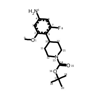 COc1cc(N)cc(F)c1C1CCN(C(=O)OC(C)(C)C)CC1